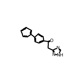 O=C(Cc1nc[nH]n1)c1ccc(-c2ccccc2)cc1